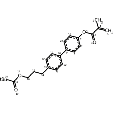 C=C(C)C(=O)Oc1ccc(-c2ccc(CCCOC(=O)C(C)(C)C)cc2)cc1